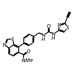 C#Cc1nc(NC(=O)NCc2ccc(-c3c(C(=O)NC)ccc4ncsc34)cc2)cs1